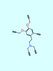 C#CCOc1cc(C#C)c(CCN(CC#C)CC#C)cc1OCC#C